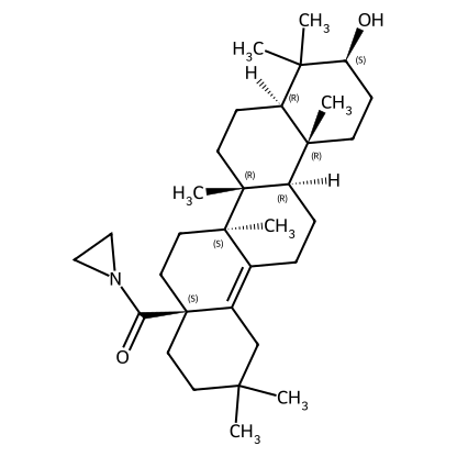 CC1(C)CC[C@]2(C(=O)N3CC3)CC[C@]3(C)C(=C2C1)CC[C@@H]1[C@@]2(C)CC[C@H](O)C(C)(C)[C@@H]2CC[C@]13C